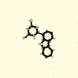 Clc1nc(Cl)nc(-c2cccc3c2sc2ccccc23)n1